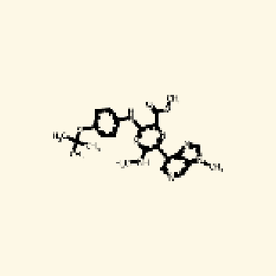 CNc1nc(Nc2ccc(SC(C)(C)C)cc2)c(C(=O)OC)nc1-c1cncc2c1ncn2C